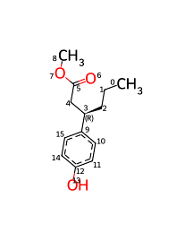 CCC[C@H](CC(=O)OC)c1ccc(O)cc1